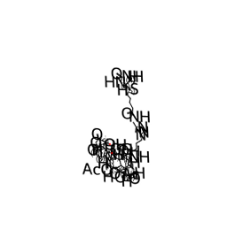 CC(=O)O[C@H]1C2C([C@@H](O)[C@H](NC(=O)CCCn3cc(CNC(=O)CCCC[C@@H]4SC[C@@H]5NC(=O)N[C@@H]54)nn3)[C@H]3C[C@@H]4O[C@@H]4[C@H](O)[C@]23C)[C@@H]2[C@@H](O)[C@@H]3[C@H]([C@H](C)[C@H]4O[C@]45OC(=O)[C@@](C)(O)[C@]35C)[C@@]2(C)[C@H]1OC(C)=O